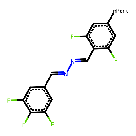 CCCCCc1cc(F)c(/C=N/N=C/c2cc(F)c(F)c(F)c2)c(F)c1